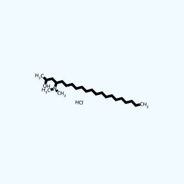 CCCCCCCCCCCCCCCCCC(CC(C)O)N(C)C.Cl